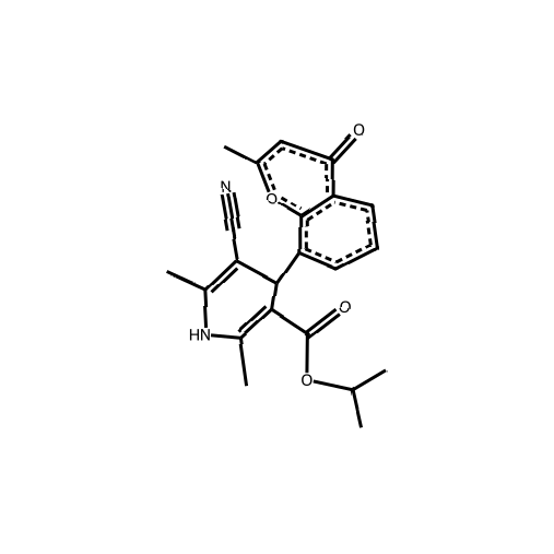 CC1=C(C#N)C(c2cccc3c(=O)cc(C)oc23)C(C(=O)OC(C)C)=C(C)N1